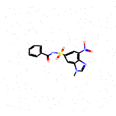 Cn1cnc2c([N+](=O)[O-])cc(S(=O)(=O)NC(=O)c3ccccc3)cc21